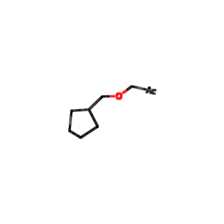 CC(=O)COCC1CCCC1